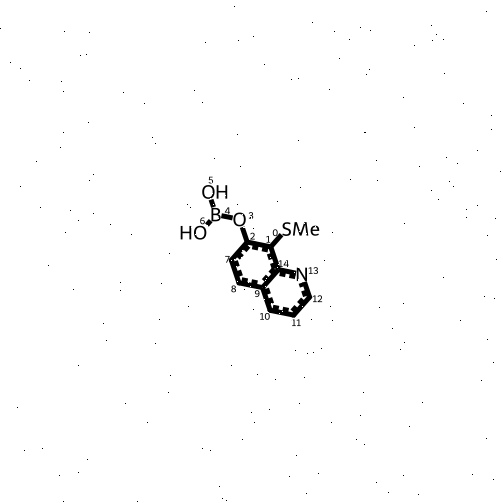 CSc1c(OB(O)O)ccc2cccnc12